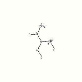 BC(C)C(CC)NC